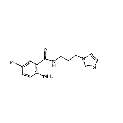 Nc1ccc(Br)cc1C(=O)NCCCn1ccnc1